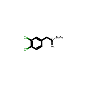 CN[C@@H](Cc1ccc(Cl)c(Cl)c1)C(C)=O